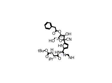 CC(C)[C@H](NC(=O)OC(C)(C)C)C(=O)N/C(=N/C=N)c1ccc([C@]2(C#N)O[C@H](CO)[C@@H](OC(=O)Cc3ccccc3)[C@H]2O)[nH]1